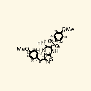 CCCC(N)C(Nc1nc(Cc2ccc(OC)cc2)ns1)S(=O)(=O)c1ccc(OC)cc1